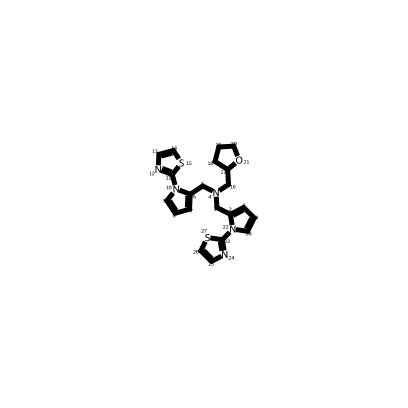 c1cc(CN(Cc2cccn2-c2nccs2)CC2CCCO2)n(-c2nccs2)c1